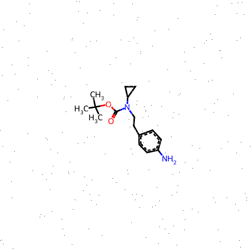 CC(C)(C)OC(=O)N(CCc1ccc(N)cc1)C1CC1